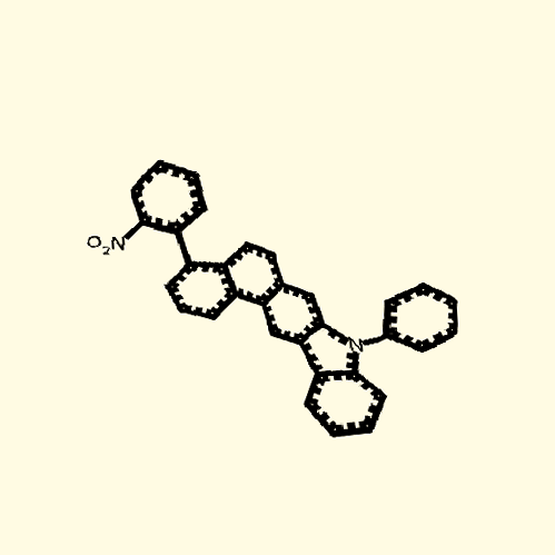 O=[N+]([O-])c1ccccc1-c1cccc2c1ccc1cc3c(cc12)c1ccccc1n3-c1ccccc1